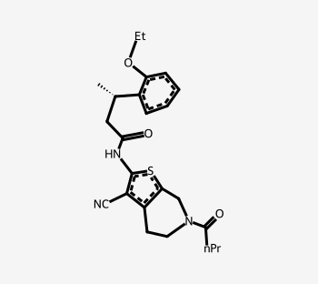 CCCC(=O)N1CCc2c(sc(NC(=O)C[C@H](C)c3ccccc3OCC)c2C#N)C1